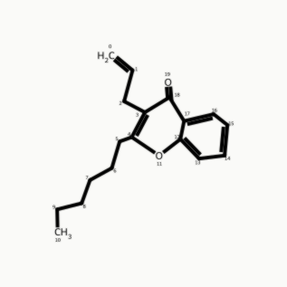 C=CCc1c(CCCCCC)oc2ccccc2c1=O